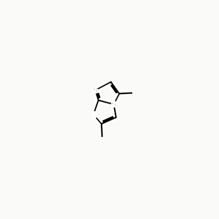 Cc1cn2c(C)cnc2o1